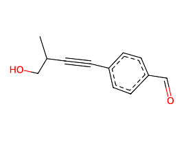 CC(C#Cc1ccc(C=O)cc1)CO